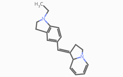 CCN1CCc2cc(/C=C3\CCN4C=CC=CC34)ccc21